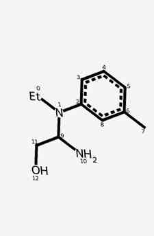 CCN(c1cccc(C)c1)C(N)CO